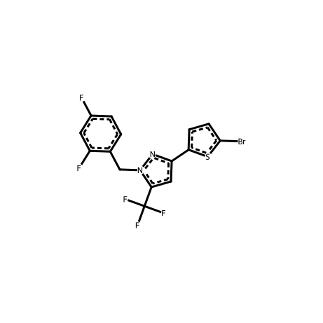 Fc1ccc(Cn2nc(-c3ccc(Br)s3)cc2C(F)(F)F)c(F)c1